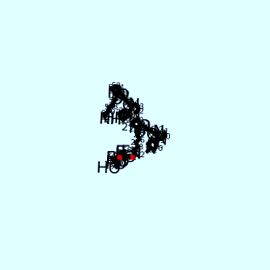 C[C@@H]1CN(C)CCN1c1nccnc1OCCOc1cccnc1OCCCCCN(C)C.C[C@@H]1CNCCN1c1nccnc1OCCOc1cccnc1OCCCCCN.O=C(O)C(F)(F)F.O=C(O)C(F)(F)F